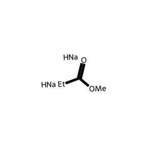 CCC(=O)OC.[NaH].[NaH]